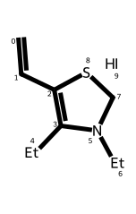 C=CC1=C(CC)N(CC)CS1.I